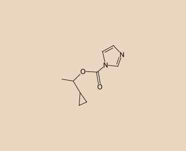 CC(OC(=O)n1ccnc1)C1CC1